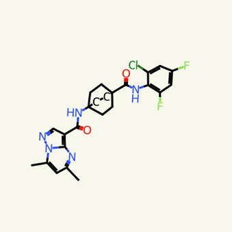 Cc1cc(C)n2ncc(C(=O)NC34CCC(C(=O)Nc5c(F)cc(F)cc5Cl)(CC3)CC4)c2n1